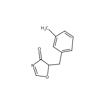 Cc1cccc(CC2OC=NC2=O)c1